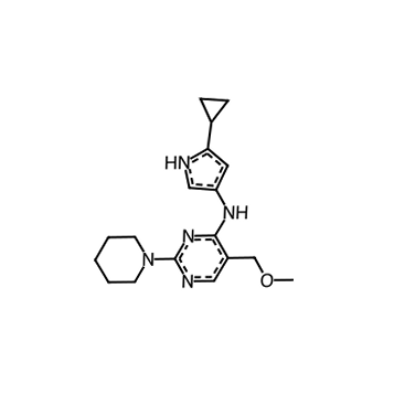 COCc1cnc(N2CCCCC2)nc1Nc1c[nH]c(C2CC2)c1